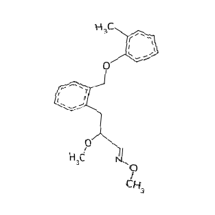 CON=CC(Cc1ccccc1COc1ccccc1C)OC